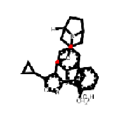 Cc1ccccc1-c1noc(C2CC2)c1COC1CC2CC[C@@H](C1)N2c1ccc2sc(C(=O)O)cc2c1